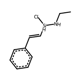 CCN[SiH](Cl)C=Cc1ccccc1